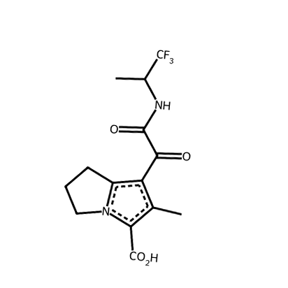 Cc1c(C(=O)C(=O)NC(C)C(F)(F)F)c2n(c1C(=O)O)CCC2